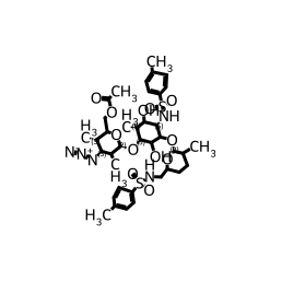 CC(=O)OCC1O[C@H](O[C@@H]2C(O)C(O[C@H]3OC(CNS(=O)(=O)c4ccc(C)cc4)CCC3C)[C@@H](NS(=O)(=O)c3ccc(C)cc3)C(O)[C@H]2C)C(C)[C@@H](N=[N+]=[N-])[C@@H]1C